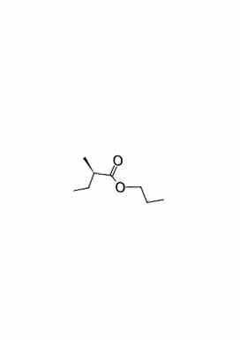 CCCOC(=O)[C@H](C)CC